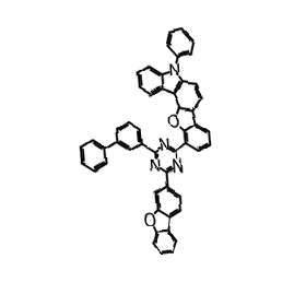 C1=CC2c3cccc(-c4nc(-c5cccc(-c6ccccc6)c5)nc(-c5ccc6c(c5)oc5ccccc56)n4)c3OC2c2c1n(-c1ccccc1)c1ccccc21